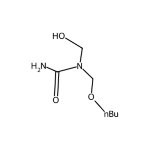 CCCCOCN(CO)C(N)=O